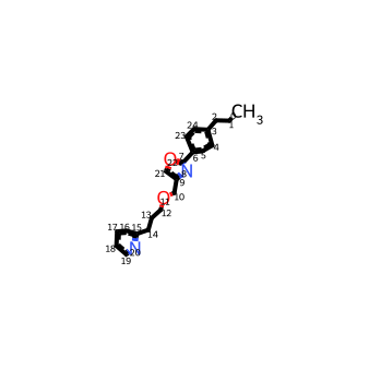 CCCc1ccc(-c2nc(COCCCc3ccccn3)co2)cc1